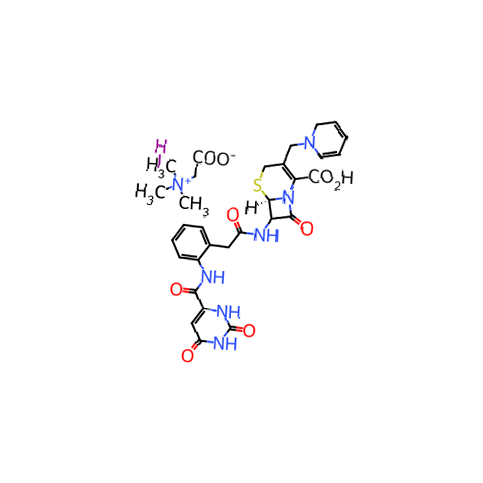 C[N+](C)(C)CC(=O)[O-].I.O=C(Cc1ccccc1NC(=O)c1cc(=O)[nH]c(=O)[nH]1)NC1C(=O)N2C(C(=O)O)=C(CN3C=CC=CC3)CS[C@H]12